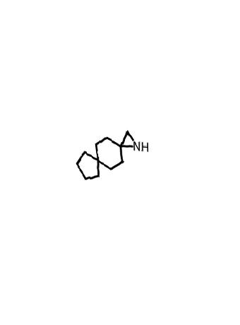 C1CCC2(C1)CCC1(CC2)CN1